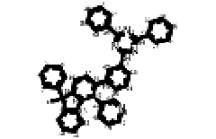 CC1(c2ccccc2)c2ccccc2-c2c1ccc(-c1cccc(-c3nc(-c4ccccc4)nc(-c4ccccc4)n3)c1)c2-c1cccnc1